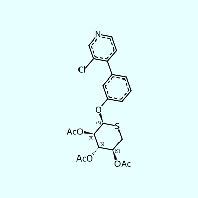 CC(=O)O[C@@H]1[C@@H](OC(C)=O)[C@@H](Oc2cccc(-c3ccncc3Cl)c2)SC[C@H]1OC(C)=O